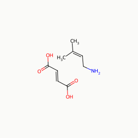 CC(C)=CCN.O=C(O)/C=C/C(=O)O